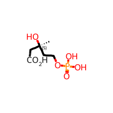 C[C@](O)(CCOP(=O)(O)O)CC(=O)O